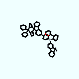 CC1(C)c2ccccc2-c2ccc(N(c3ccc(-c4ccc5c(c4)-c4ccccc4C54c5ccccc5C(c5ccccc5)(c5ccccc5)c5ccccc54)cc3)c3ccccc3-c3ccccc3)cc21